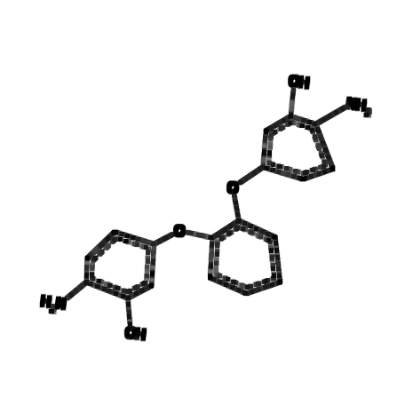 Nc1ccc(Oc2ccccc2Oc2ccc(N)c(O)c2)cc1O